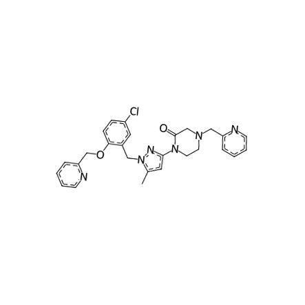 Cc1cc(N2CCN(Cc3ccccn3)CC2=O)nn1Cc1cc(Cl)ccc1OCc1ccccn1